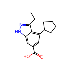 CCc1n[nH]c2cc(C(=O)O)cc(C3CCCC3)c12